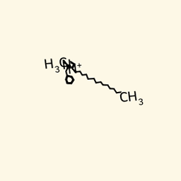 CCCCCCCCCCCCCCC[n+]1ccn(C)c1Cc1ccccc1